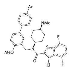 CN[C@H]1CC[C@@H](N(Cc2cc(-c3ccc(C(C)=O)cc3)ccc2OC)C(=O)c2sc3c(F)ccc(F)c3c2Cl)CC1